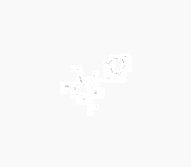 O=C(O)NC(CSc1ccccc1)C(=O)CCl